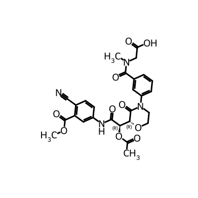 COC(=O)c1cc(NC(=O)[C@H](OC(C)=O)[C@H]2OCCN(c3cccc(C(=O)N(C)CC(=O)O)c3)C2=O)ccc1C#N